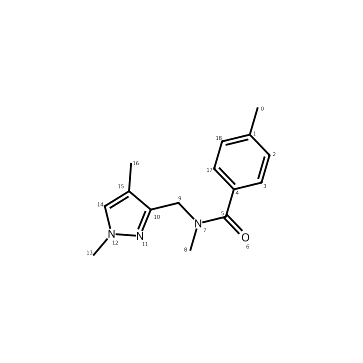 Cc1ccc(C(=O)N(C)Cc2nn(C)cc2C)cc1